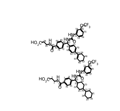 O=C(O)CCNC(=O)c1ccc(C(NC(=O)Nc2cccc(OC(F)(F)F)c2)C2CCC(C3CCCCC3)CC2)cc1.O=C(O)CCNC(=O)c1ccc(C(NC(=O)Nc2cccc(OC(F)(F)F)c2)c2ccc(C3=CCCCC3)cc2)cc1